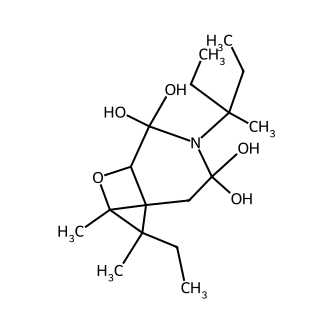 CCC(C)(CC)N1C(O)(O)CC23C(OC2(C)C3(C)CC)C1(O)O